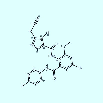 COc1cc(Cl)cc(C(=O)Nc2ccc(Cl)cn2)c1NC(=O)c1scc(CC#N)c1Cl